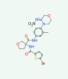 Cc1cc(NC(=O)C2(NC(=O)c3ccc(Br)s3)CCOC2)ccc1N1CCOC/C1=N/[N+](=O)[O-]